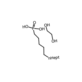 CCCCCCCCCCCCP(=O)(O)O.OCCO